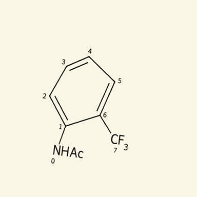 [CH2]C(=O)Nc1ccccc1C(F)(F)F